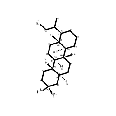 CCC[C@@]1(O)CC[C@H]2[C@@H](CC[C@@H]3[C@@H]2CC[C@]2(C)[C@@H](C(C)CBr)CCC[C@@H]32)C1